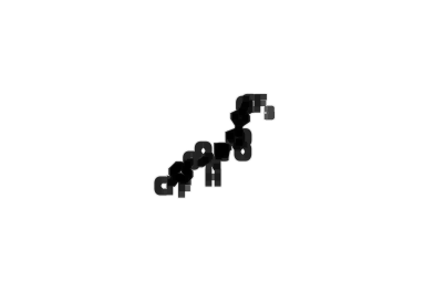 O=C(COc1ccc(Cl)c(F)c1)NC12CC(N3CC(C4CC(OC(F)(F)F)C4)OC3=O)(C1)C2